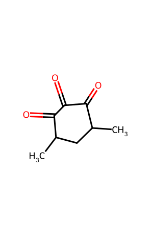 CC1CC(C)C(=O)C(=O)C1=O